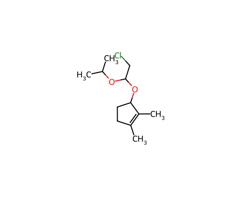 CC1=C(C)C(OC(CCl)OC(C)C)CC1